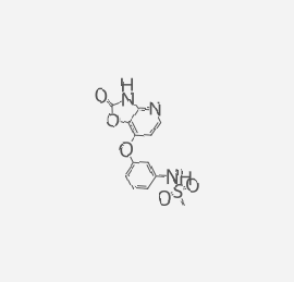 CS(=O)(=O)Nc1cccc(Oc2ccnc3[nH]c(=O)oc23)c1